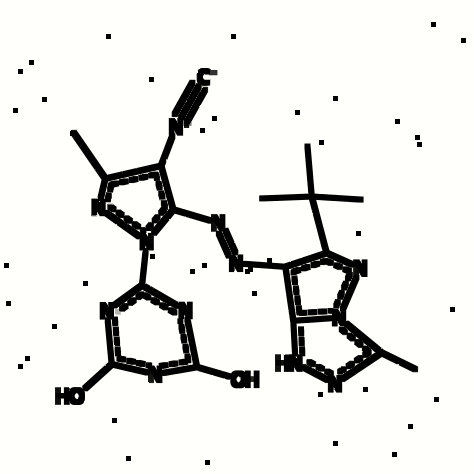 [C-]#[N+]c1c(C)nn(-c2nc(O)nc(O)n2)c1/N=N/c1c(C(C)(C)C)nn2c(C)n[nH]c12